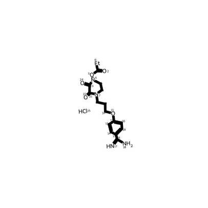 CCC(=O)ON1CCN(CCCOc2ccc(C(=N)N)cc2)C(=O)C1=O.Cl